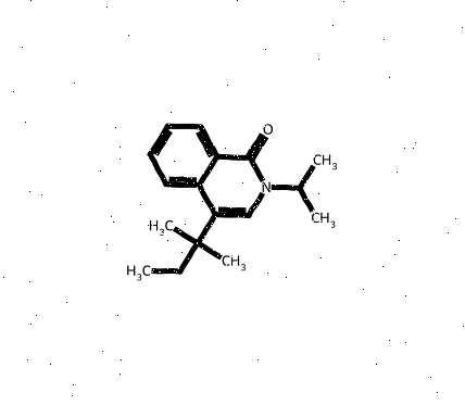 CCC(C)(C)c1cn(C(C)C)c(=O)c2ccccc12